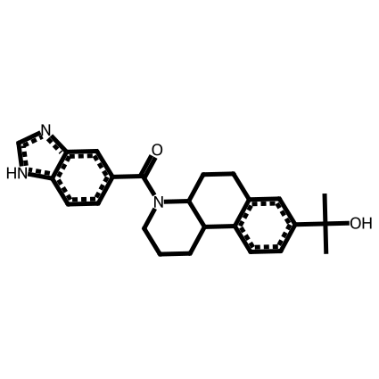 CC(C)(O)c1ccc2c(c1)CCC1C2CCCN1C(=O)c1ccc2[nH]cnc2c1